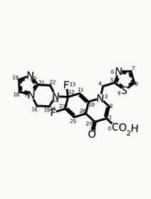 O=C(O)C1=CN(Cc2nccs2)C2=CC(F)(N3CCn4ccnc4C3)C(F)=CC2C1=O